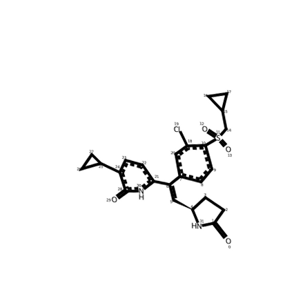 O=C1CC[C@H](/C=C(\c2ccc(S(=O)(=O)CC3CC3)c(Cl)c2)c2ccc(C3CC3)c(=O)[nH]2)N1